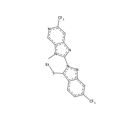 CCSc1c2ccc(C(F)(F)F)cc2nn1-c1nc2cc(C(F)(F)F)ncc2n1C